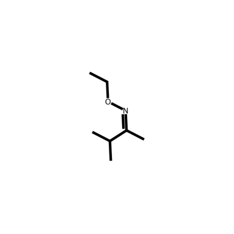 CCON=C(C)C(C)C